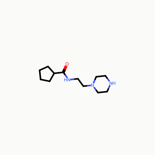 O=C(NCCN1CCNCC1)C1CCCC1